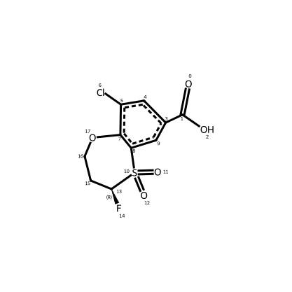 O=C(O)c1cc(Cl)c2c(c1)S(=O)(=O)[C@@H](F)CCO2